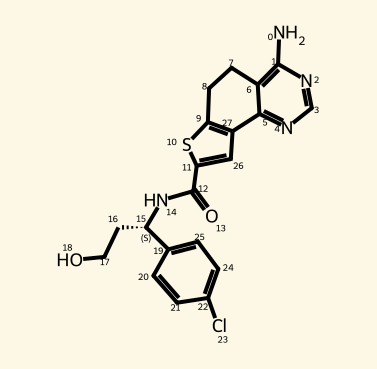 Nc1ncnc2c1CCc1sc(C(=O)N[C@@H](CCO)c3ccc(Cl)cc3)cc1-2